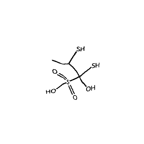 CC(S)C(O)(S)S(=O)(=O)O